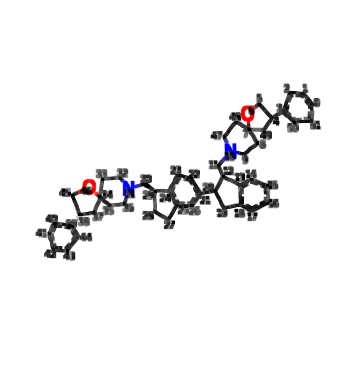 c1ccc(C2COC3(CCN(CC4c5ccccc5CC4c4ccc5c(c4)CC[C@H]5CN4CCC5(CC4)C[C@H](c4ccccc4)CO5)CC3)C2)cc1